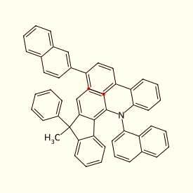 CC1(c2ccccc2)c2ccccc2-c2c(N(c3ccccc3-c3ccc(-c4ccc5ccccc5c4)cc3)c3cccc4ccccc34)cccc21